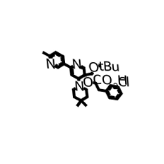 Cc1ccc(C2=CC(N3CCC(C)(C)CC3)C(OCCc3cccc(Cl)c3)(C(OC(C)(C)C)C(=O)O)C=N2)cn1